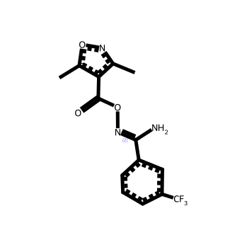 Cc1noc(C)c1C(=O)O/N=C(\N)c1cccc(C(F)(F)F)c1